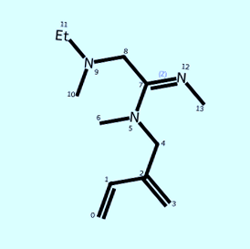 C=CC(=C)CN(C)/C(CN(C)CC)=N\C